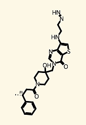 C[C@H](CC(=O)N1CCC(O)(Cn2cnc3c(NCCN=N)csc3c2=O)CC1)c1ccccc1